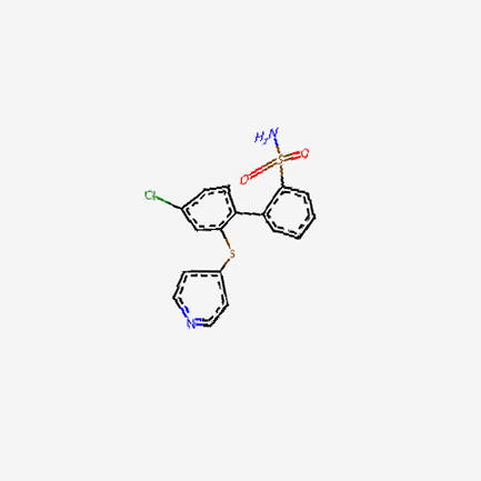 NS(=O)(=O)c1ccccc1-c1ccc(Cl)cc1Sc1ccncc1